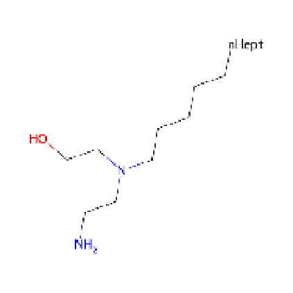 CCCCCCCCCCCCN(CCN)CCO